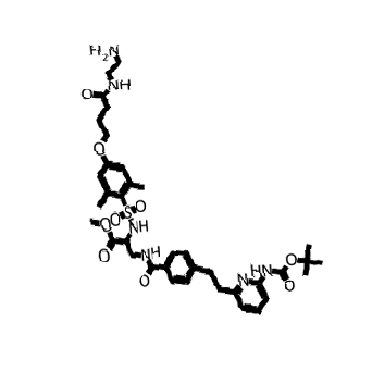 COC(=O)C(CNC(=O)c1ccc(CCc2cccc(NC(=O)OC(C)(C)C)n2)cc1)NS(=O)(=O)c1c(C)cc(OCCCC(=O)NCCN)cc1C